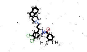 Cc1ccc(C(=O)N(C)C[C@@H](CCN2CCC3(C=Cc4ccccc43)CC2)c2ccc(Cl)c(Cl)c2)cc1C